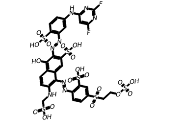 O=S(=O)(O)CNc1ccc2c(O)c(/N=N/c3cc(Nc4cc(F)nc(F)n4)ccc3S(=O)(=O)O)c(S(=O)(=O)O)cc2c1/N=N/c1ccc(S(=O)(=O)CCOS(=O)(=O)O)cc1S(=O)(=O)O